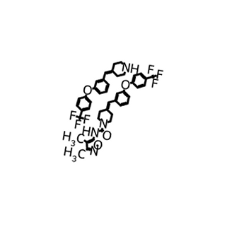 Cc1noc(NC(=O)N2CCC(=Cc3cccc(Oc4ccc(C(F)(F)F)cc4)c3)CC2)c1C.FC(F)(F)c1ccc(Oc2cccc(C=C3CCNCC3)c2)cc1